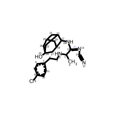 CC(NCCc1ccc(Cl)cc1)/C(=N\C#N)NC1C2CC3CC1CC(O)(C3)C2